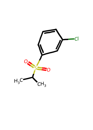 CC(C)S(=O)(=O)c1cccc(Cl)c1